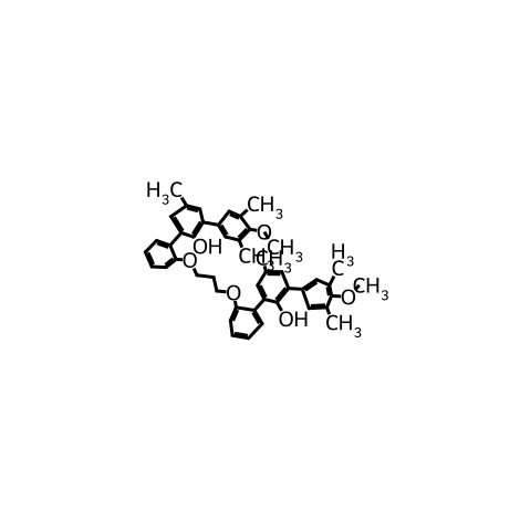 COc1c(C)cc(-c2cc(C)cc(-c3ccccc3OCCCOc3ccccc3-c3cc(C)cc(-c4cc(C)c(OC)c(C)c4)c3O)c2O)cc1C